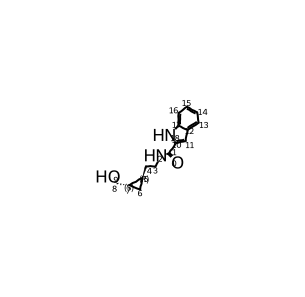 O=C(NCC[C@H]1C[C@@H]1CO)c1cc2ccccc2[nH]1